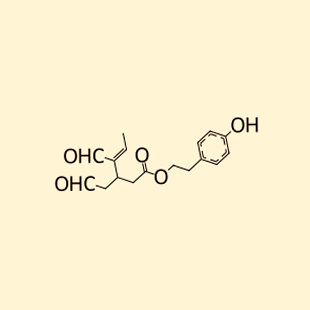 CC=C(C=O)C(CC=O)CC(=O)OCCc1ccc(O)cc1